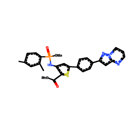 COC(=O)c1sc(-c2ccc(-c3cc4ncccn4n3)cc2)cc1NP(=O)(OC)c1ccc(C)cc1C